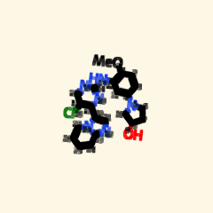 COc1ccc(N2CC[C@@H](O)C2)cc1Nc1ncc(Cl)c(-c2cnc3ccccn23)n1